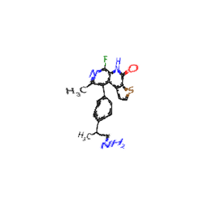 Cc1nc(F)c2[nH]c(=O)c3sccc3c2c1-c1ccc(C(C)CN)cc1